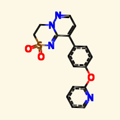 O=S1(=O)CCN2N=CC=C(c3ccc(Oc4ccccn4)cc3)C2=N1